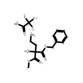 COC(=O)C(N)(CCN)C(=O)OCc1ccccc1.O=C(O)C(F)(F)F